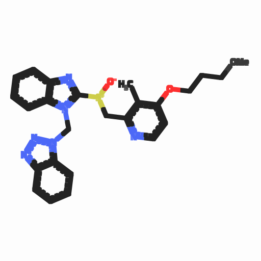 COCCCOc1ccnc(C[S+]([O-])c2nc3ccccc3n2Cn2nnc3ccccc32)c1C